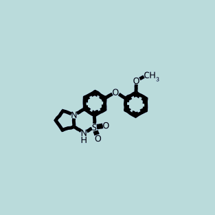 COc1ccccc1Oc1ccc2c(c1)S(=O)(=O)NC1CCCN21